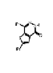 CC(C)c1cc2c(=O)[nH]nc(C(C)C)c2s1